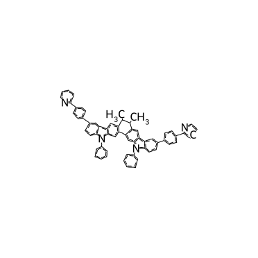 CC1c2cc3c4cc(-c5ccc(-c6ccccn6)cc5)ccc4n(-c4ccccc4)c3cc2-c2cc3c(cc2C1C)c1cc(-c2ccc(-c4ccccn4)cc2)ccc1n3-c1ccccc1